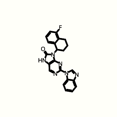 O=c1[nH]c2cnc(-n3cnc4ccccc43)nc2n1C1CCCc2c(F)cccc21